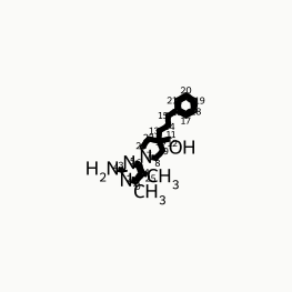 Cc1nc(N)nc(N2CCC(CO)(CCCc3ccccc3)CC2)c1C